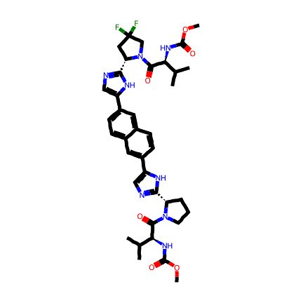 COC(=O)N[C@H](C(=O)N1CCC[C@H]1c1ncc(-c2ccc3cc(-c4cnc([C@@H]5CC(F)(F)CN5C(=O)[C@@H](NC(=O)OC)C(C)C)[nH]4)ccc3c2)[nH]1)C(C)C